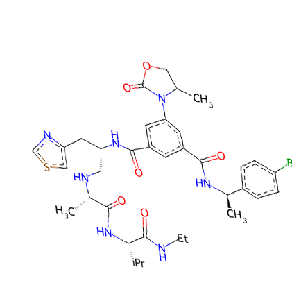 CCNC(=O)[C@@H](NC(=O)[C@H](C)NC[C@H](Cc1cscn1)NC(=O)c1cc(C(=O)N[C@H](C)c2ccc(Br)cc2)cc(N2C(=O)OCC2C)c1)C(C)C